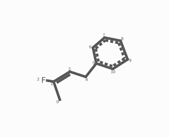 C/C(F)=C\Cc1ccccc1